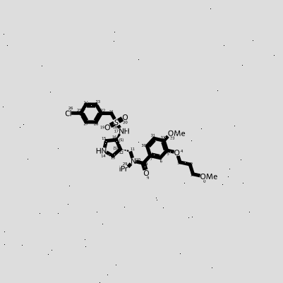 COCCCOc1cc(C(=O)N(C[C@@H]2CNC[C@H]2NS(=O)(=O)Cc2ccc(Cl)cc2)C(C)C)ccc1OC